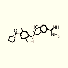 Cc1cc(C(=O)N2CCCC2)c(C)cc1NC(=O)Cc1cc(C(=N)N)ccc1O